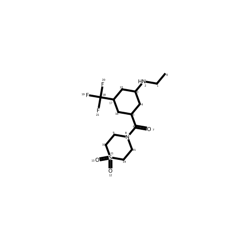 CCNC1CC(C(=O)N2CCS(=O)(=O)CC2)CC(C(F)(F)F)C1